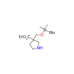 CCOC(=O)C1(CO[Si](C)(C)C(C)(C)C)CCNC1